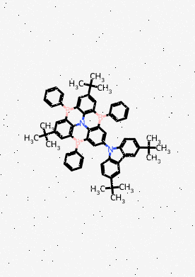 CC(C)(C)c1cc2c3c(c1)B(c1ccccc1)c1cc(C(C)(C)C)cc4c1N3c1c(cc(-n3c5ccc(C(C)(C)C)cc5c5cc(C(C)(C)C)ccc53)cc1B4c1ccccc1)B2c1ccccc1